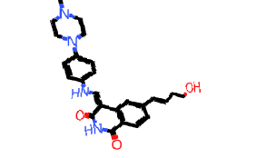 CN1CCN(c2ccc(N/C=C3\C(=O)NC(=O)c4ccc(/C=C/CCO)cc43)cc2)CC1